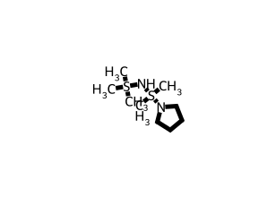 CS(C)(C)NS(C)(C)N1CCCC1